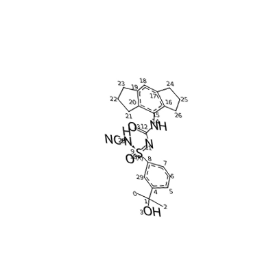 CC(C)(O)c1cccc([S@](=O)(=NC(=O)Nc2c3c(cc4c2CCC4)CCC3)NC#N)c1